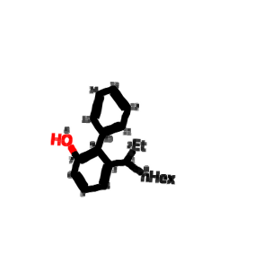 CCCCCCC(CC)c1cccc(O)c1-c1ccccc1